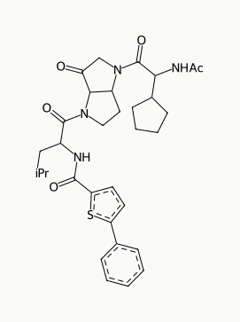 CC(=O)NC(C(=O)N1CC(=O)C2C1CCN2C(=O)C(CC(C)C)NC(=O)c1ccc(-c2ccccc2)s1)C1CCCC1